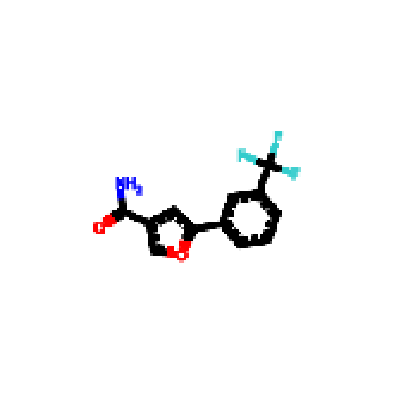 NC(=O)c1coc(-c2cccc(C(F)(F)F)c2)c1